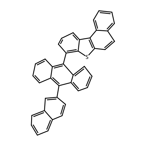 c1ccc2cc(-c3c4ccccc4c(-c4cccc5c4sc4ccc6ccccc6c45)c4ccccc34)ccc2c1